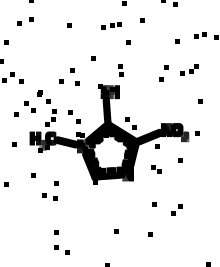 Cn1cnc([N+](=O)[O-])c1S